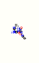 Cc1cc(-c2n[nH]c3ccc(NC(=O)C4(CN5CCOCC5)CCN(CC(=O)N5CC=C(C6=CCC=C6)CC5)C4)cc23)ccn1